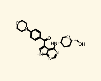 O=C(c1ccc(N2CCOCC2)cc1)c1c[nH]c2ncnc(N[C@H]3CC[C@@H](CO)OC3)c12